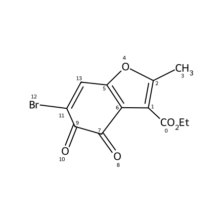 CCOC(=O)c1c(C)oc2c1C(=O)C(=O)C(Br)=C2